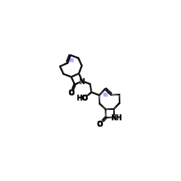 O=C1NC2CC/C=C/C(C(O)CN3C(=O)C4CC/C=C/CCC43)CC12